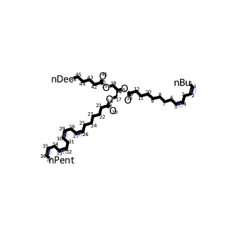 CCCC/C=C\C/C=C\CCCCCCCC(=O)O[C@@H](COC(=O)CCCCC/C=C\C/C=C\C/C=C\C/C=C\CCCCC)COC(=O)CCCCCCCCCCCCCC